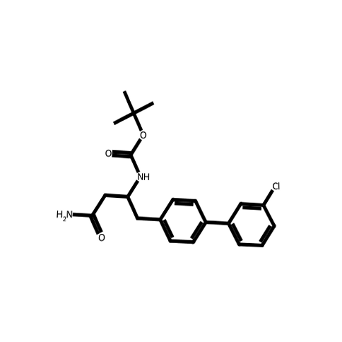 CC(C)(C)OC(=O)NC(CC(N)=O)Cc1ccc(-c2cccc(Cl)c2)cc1